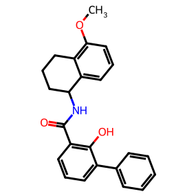 COc1cccc2c1CCCC2NC(=O)c1cccc(-c2ccccc2)c1O